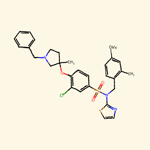 COc1ccc(CN(c2nccs2)S(=O)(=O)c2ccc(OC3(C)CCN(Cc4ccccc4)C3)c(Cl)c2)c(C)c1